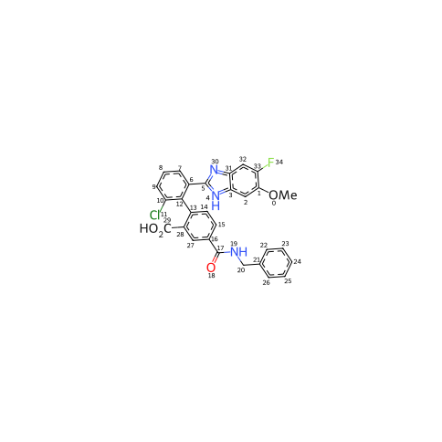 COc1cc2[nH]c(-c3cccc(Cl)c3-c3ccc(C(=O)NCc4ccccc4)cc3C(=O)O)nc2cc1F